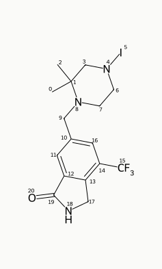 CC1(C)CN(I)CCN1Cc1cc2c(c(C(F)(F)F)c1)CNC2=O